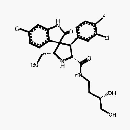 CC(C)(C)C[C@H]1N[C@@H](C(=O)NCC[C@H](O)CO)[C@H](c2ccc(F)c(Cl)c2)[C@@]12C(=O)Nc1cc(Cl)ccc12